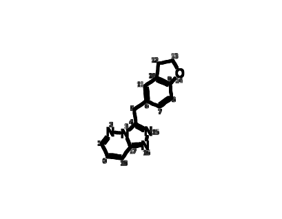 c1cnn2c(Cc3ccc4c(c3)CCO4)nnc2c1